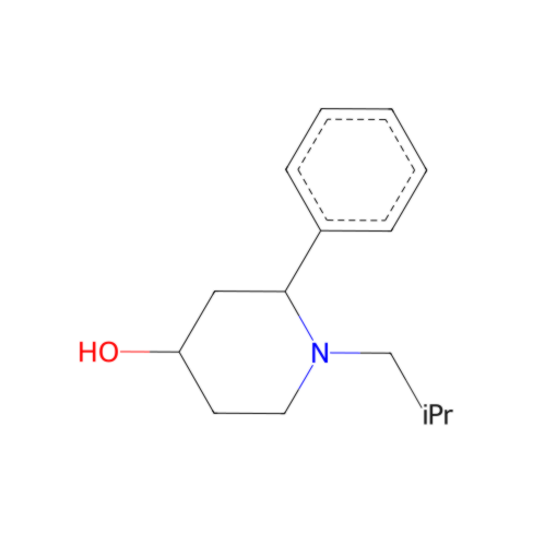 CC(C)CN1CCC(O)CC1c1ccccc1